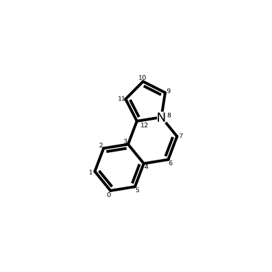 c1ccc2c(c1)ccn1cccc21